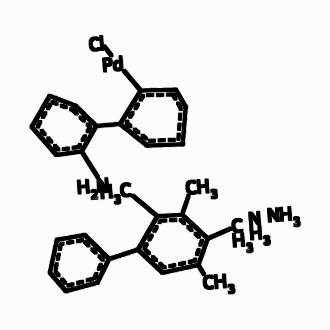 Cc1cc(-c2ccccc2)c(C)c(C)c1C.N.N.Nc1ccccc1-c1cccc[c]1[Pd][Cl]